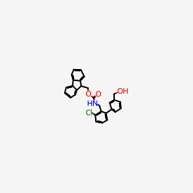 O=C(NCc1c(Cl)cccc1-c1cccc(CO)c1)OCC1c2ccccc2-c2ccccc21